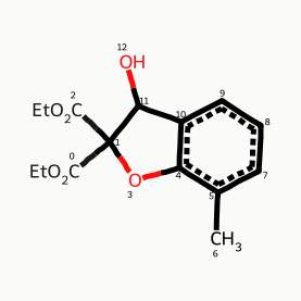 CCOC(=O)C1(C(=O)OCC)Oc2c(C)cccc2C1O